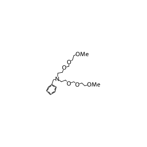 COCCOCOCCN(CCOCOCCOC)Cc1ccccc1